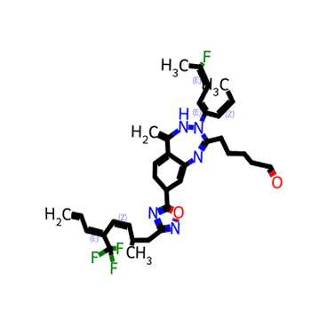 C=C/C=C(\C=C/C(C)Cc1noc(C2C=C3N=C(CCCCC=O)N(C(/C=C\C)=C/C=C(\C)F)NC(=C)C3=CC2)n1)C(F)(F)F